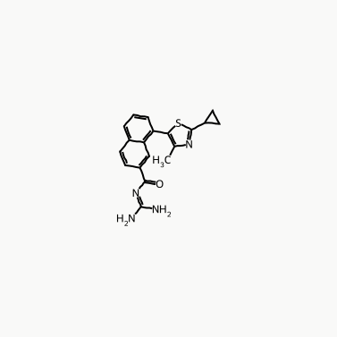 Cc1nc(C2CC2)sc1-c1cccc2ccc(C(=O)N=C(N)N)cc12